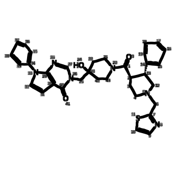 O=C([C@@H]1CCN(Cc2nccs2)C[C@H]1c1ccccc1)N1CCC(O)(Cn2cnc3c(ccn3-c3ccccc3)c2=O)CC1